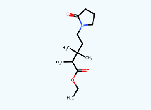 CCOC(=O)C(C)C(C)(C)CCN1CCCC1=O